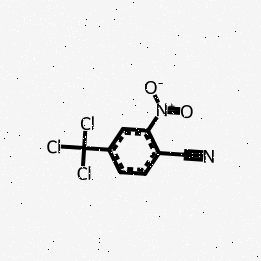 N#Cc1ccc(C(Cl)(Cl)Cl)cc1[N+](=O)[O-]